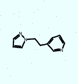 c1cncc(CCn2cccn2)c1